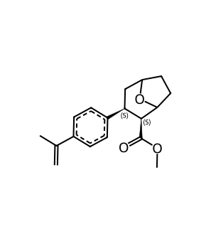 C=C(C)c1ccc([C@H]2CC3CCC(O3)[C@H]2C(=O)OC)cc1